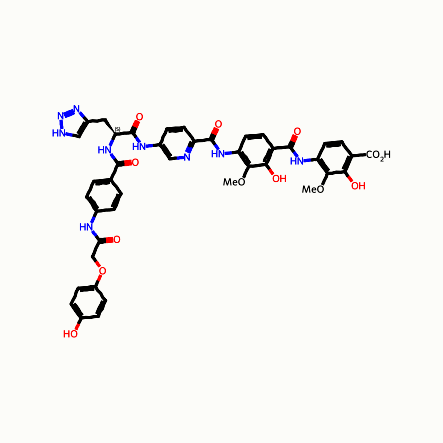 COc1c(NC(=O)c2ccc(NC(=O)c3ccc(NC(=O)[C@H](Cc4c[nH]nn4)NC(=O)c4ccc(NC(=O)COc5ccc(O)cc5)cc4)cn3)c(OC)c2O)ccc(C(=O)O)c1O